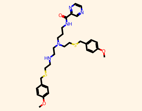 COc1ccc(CSCCNCCN(CCCNC(=O)c2cnccn2)CCSCc2ccc(OC)cc2)cc1